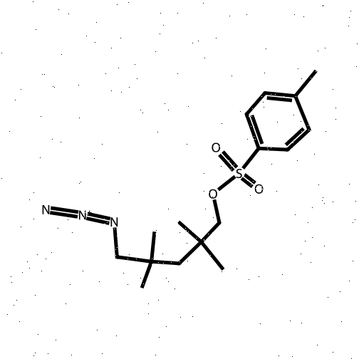 Cc1ccc(S(=O)(=O)OCC(C)(C)CC(C)(C)CN=[N+]=[N-])cc1